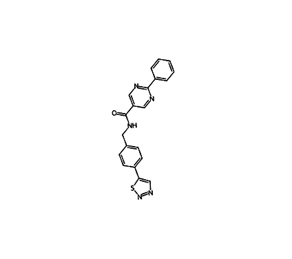 O=C(NCc1ccc(-c2cnns2)cc1)c1cnc(-c2ccccc2)nc1